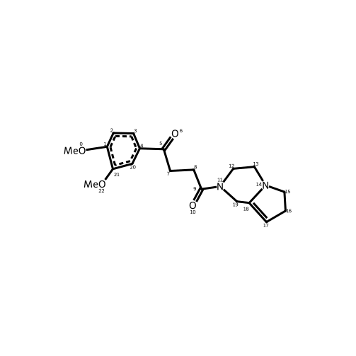 COc1ccc(C(=O)CCC(=O)N2CCN3CCC=C3C2)cc1OC